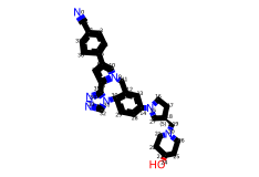 N#Cc1ccc(-c2cc3n(c2)Cc2cc(N4CC[C@@H](CN5CCC(O)CC5)C4)ccc2-n2cnnc2-3)cc1